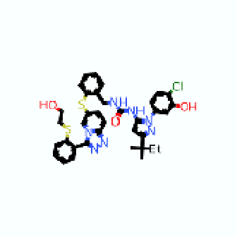 CCC(C)(C)c1cc(NC(=O)NCc2ccccc2Sc2ccc3nnc(-c4ccccc4SCCO)n3c2)n(-c2ccc(Cl)c(O)c2)n1